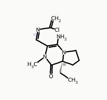 C=C(Cl)/N=C\C1=C(N)N2CCC[C@@]2(CC)C(=O)N1C